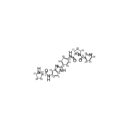 O=C(Nc1ccc2[nH]c(-c3ccc(NC(=O)[C@@H]4CCCN4C(=O)c4cccnc4)cc3)nc2c1)[C@@H]1CCCN1